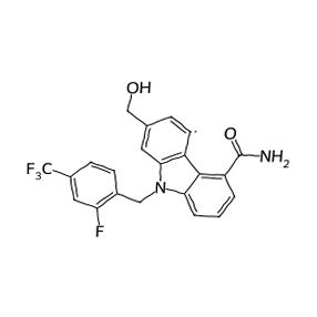 NC(=O)c1cccc2c1c1[c]cc(CO)cc1n2Cc1ccc(C(F)(F)F)cc1F